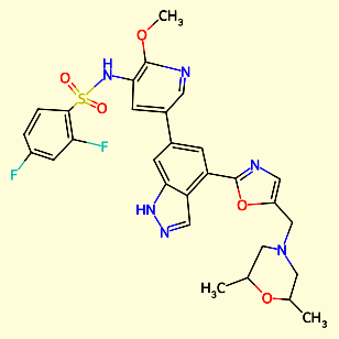 COc1ncc(-c2cc(-c3ncc(CN4CC(C)OC(C)C4)o3)c3cn[nH]c3c2)cc1NS(=O)(=O)c1ccc(F)cc1F